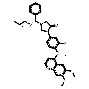 CCCO[C@H](c1ccccc1)[C@H]1CC(=O)N(c2ccc(Oc3ccnc4cc(OC)c(OC)cc34)c(F)c2)C1